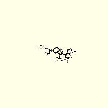 CNCCN(C=O)c1ccc2[nH]c(-c3ccnc4[nH]ncc34)c(C(C)C)c2c1